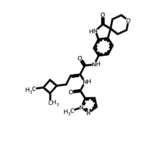 CC1CC(CC=C(NC(=O)c2ccnn2C)C(=O)Nc2ccc3c(c2)NC(=O)C32CCOCC2)C1C